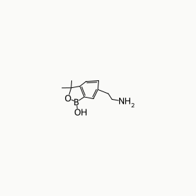 CC1(C)OB(O)c2cc(CCN)ccc21